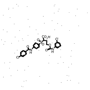 O=C(Nc1cccc(Cl)c1)OCCC(C(=O)O)S(=O)(=O)c1ccc(NC(=O)c2ccc(Cl)cc2)cc1